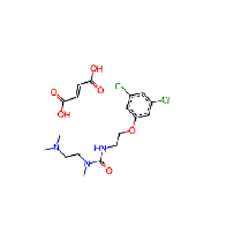 CN(C)CCN(C)C(=O)NCCOc1cc(Cl)cc(Cl)c1.O=C(O)C=CC(=O)O